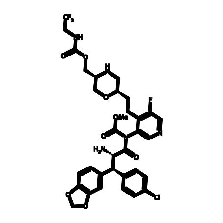 COC(=O)N(C(=O)[C@@H](N)[C@@H](c1ccc(Cl)cc1)c1ccc2c(c1)OCO2)c1cncc(F)c1CC[C@@H]1CN[C@H](COC(=O)NCC(F)(F)F)CO1